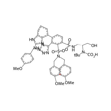 COc1ccc(CN(Cc2ccc(OC)cc2)S(=O)(=O)c2c(S(=O)(=O)NC[C@H](CO)N(C(=O)O)C(C)(C)C)ccc(-c3cccc4[nH]c(N)nc34)c2-c2nnn(Cc3ccc(OC)cc3)n2)cc1